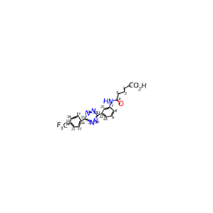 O=C(O)CCCC(=O)Nc1cccc(-c2nnc(-c3ccc(C(F)(F)F)cc3)nn2)c1